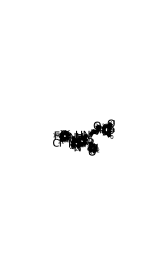 CC1CN(C(=O)C=CCNc2cc3c(Nc4ccc(F)c(Cl)c4)ncnc3cc2OC2CCOC2)CC(=O)O1